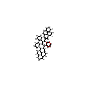 c1ccc(N(c2cc3ccc4cccc5ccc(c2)c3c45)c2c(N(c3ccccc3)c3cc4ccc5cccc6ccc(c3)c4c56)c3ccccc3c3ccccc23)cc1